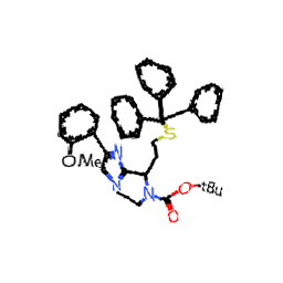 COc1ccccc1-c1cn2c(n1)C(CCSC(c1ccccc1)(c1ccccc1)c1ccccc1)N(C(=O)OC(C)(C)C)CC2